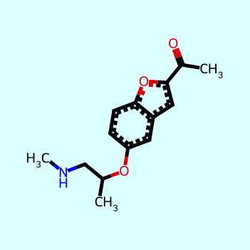 CNCC(C)Oc1ccc2oc(C(C)=O)cc2c1